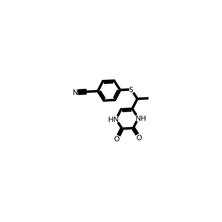 CC(Sc1ccc(C#N)cc1)c1c[nH]c(=O)c(=O)[nH]1